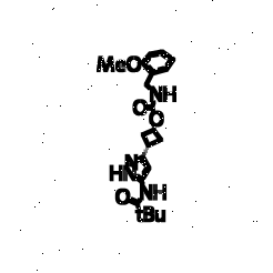 COc1ccccc1CNC(=O)O[C@H]1C[C@@H](c2cc(NC(=O)C(C)(C)C)[nH]n2)C1